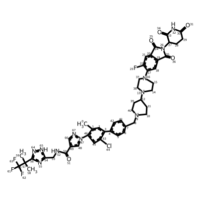 Cc1cc(-c2ccc(CN3CCC(N4CCN(c5cc6c(cc5F)C(=O)N(C5CCC(=O)NC5=O)C6=O)CC4)CC3)cc2)c(Cl)cc1-n1cc(C(=O)NCc2nc(C(C)(C)C(F)(F)F)n[nH]2)cn1